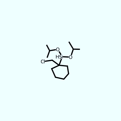 CC(C)O[SiH](OC(C)C)C1(CCl)CCCCC1